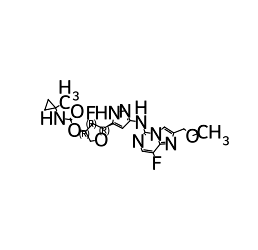 COCc1cn2c(Nc3cc([C@H]4OC[C@@H](OC(=O)NC5(C)CC5)[C@@H]4F)[nH]n3)ncc(F)c2n1